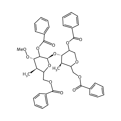 COO[C@@H]1C(OC(=O)c2ccccc2)[C@@H](O[C@@H]2C(OC(=O)c3ccccc3)COC(COC(=O)c3ccccc3)[C@H]2C)OC(COC(=O)c2ccccc2)[C@H]1C